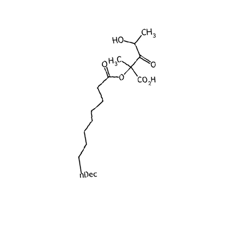 CCCCCCCCCCCCCCCCCC(=O)OC(C)(C(=O)O)C(=O)C(C)O